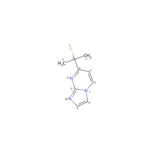 CC(C)(F)c1ccn2ccnc2n1